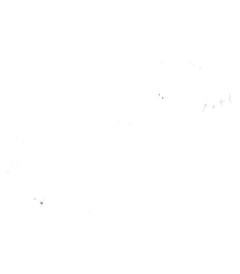 Clc1ncccc1C1=CN2CCNC2C=C1